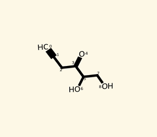 C#CCC(=O)C(O)CO